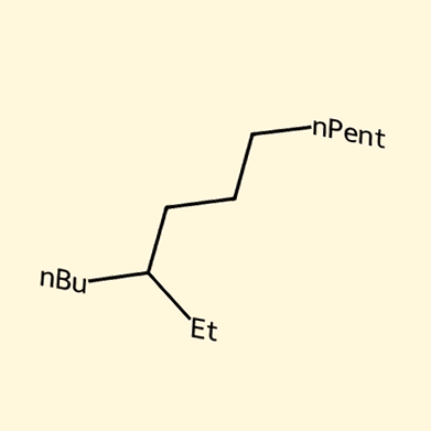 [CH2]CCCC(CC)CCCCCCCC